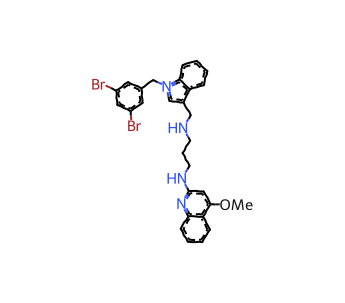 COc1cc(NCCCNCc2cn(Cc3cc(Br)cc(Br)c3)c3ccccc23)nc2ccccc12